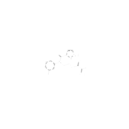 C=C(C)C(=O)OCCN(C(=O)c1cc[nH]n1)c1cc(C)cc(C)c1